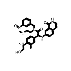 COCCN(Cc1cccc(N=O)c1)C(=O)C(Nc1ccc2cc[nH]c(=O)c2c1)c1ccc([C@@H](C)CO)c(C)c1